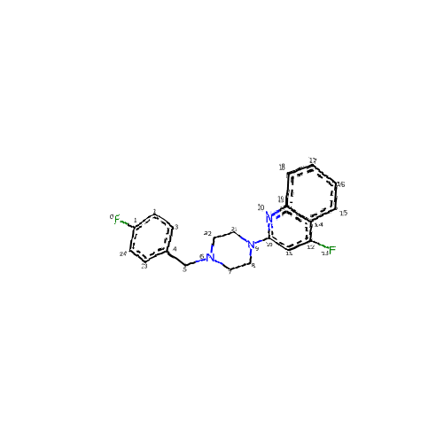 Fc1ccc(CN2CCN(c3cc(F)c4ccccc4n3)CC2)cc1